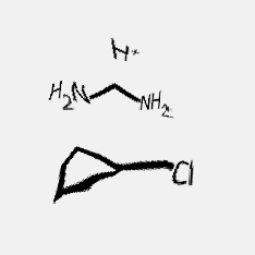 ClC1CC1.NN.[H+]